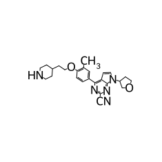 Cc1cc(-c2nc(C#N)nc3c2ccn3C2CCOC2)ccc1OCCC1CCNCC1